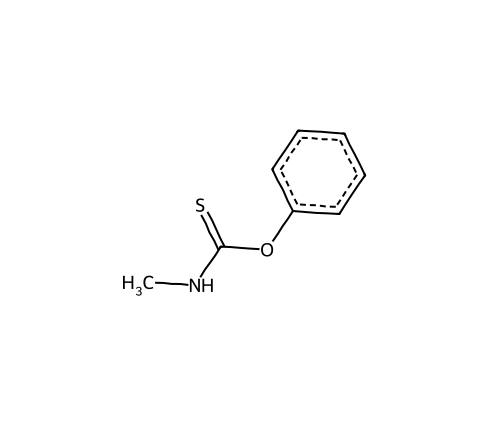 CNC(=S)Oc1ccccc1